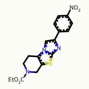 CCOC(=O)N1CCc2c(sc3nc(-c4ccc([N+](=O)[O-])cc4)cn23)C1